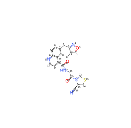 Cc1conc1Cc1ccc2nccc(C(=O)NCC(=O)N3CSC[C@H]3C#N)c2c1